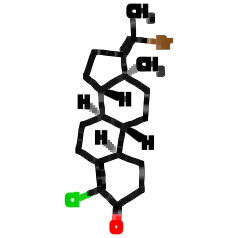 C/C(Br)=C1\CC[C@H]2[C@@H]3CCC4=C(Cl)C(=O)CC[C@@H]4[C@H]3CC[C@]12C